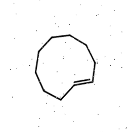 [C]1/C=C/CCCCCCC1